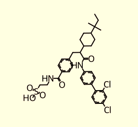 CCC(C)(C)C1CCC(C(Cc2ccc(C(=O)NCCS(=O)(=O)O)cc2)C(=O)Nc2ccc(-c3ccc(Cl)cc3Cl)cc2)CC1